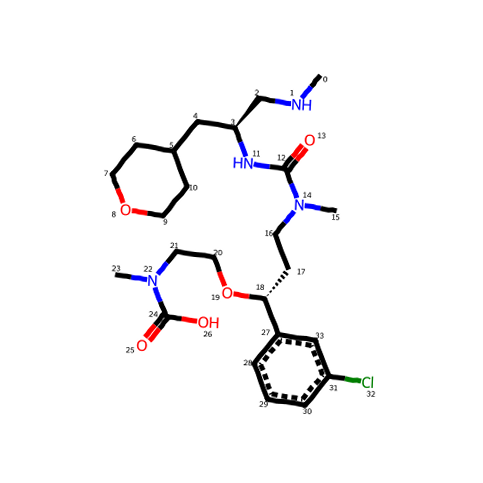 CNC[C@H](CC1CCOCC1)NC(=O)N(C)CC[C@@H](OCCN(C)C(=O)O)c1cccc(Cl)c1